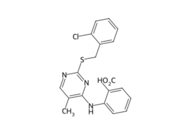 Cc1cnc(SCc2ccccc2Cl)nc1Nc1ccccc1C(=O)O